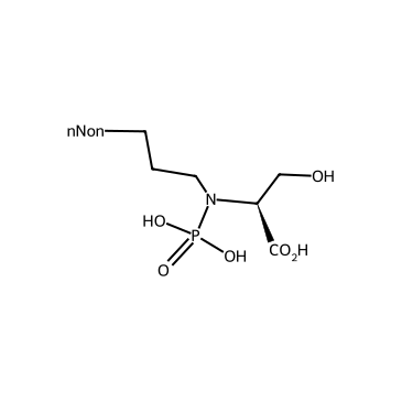 CCCCCCCCCCCCN([C@@H](CO)C(=O)O)P(=O)(O)O